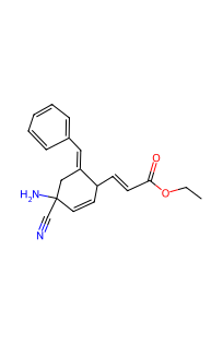 CCOC(=O)C=CC1C=CC(N)(C#N)CC1=Cc1ccccc1